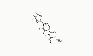 CC(C)(C)OC(=O)N1CCc2c(ccc(B3OC(C)(C)C(C)(C)O3)c2F)C1=O